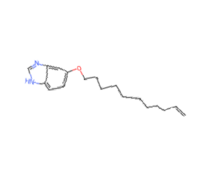 C=CCCCCCCCCCOc1ccc2[nH]cnc2c1